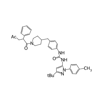 CC(=O)CC(C(=O)N1CCC(Cc2ccc(NC(=O)Nc3cc(C(C)(C)C)nn3-c3ccc(C)cc3)cc2)CC1)c1ccccc1